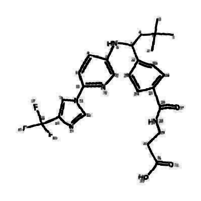 CC(C)(C)CC(Nc1ccc(-n2cnc(C(F)(F)F)c2)nc1)c1ccc(C(=O)NCCC(=O)O)cc1